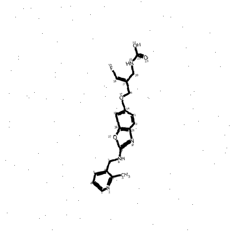 Cc1ncccc1CNc1nc2ccc(OCC(=CF)CNC(=O)O)cc2o1